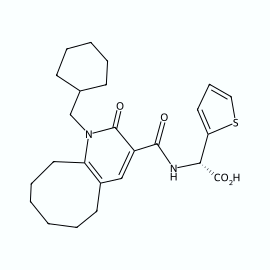 O=C(N[C@@H](C(=O)O)c1cccs1)c1cc2c(n(CC3CCCCC3)c1=O)CCCCCC2